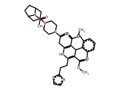 COC(=O)C1=C(CCc2nccs2)NC(CC(=O)N2CCN(C3CC4CCC(C3)N4C(C)=O)CC2)=C(C(=O)OC)C1c1c(Cl)cccc1Cl